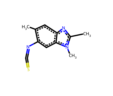 Cc1cc2nc(C)n(C)c2cc1N=C=S